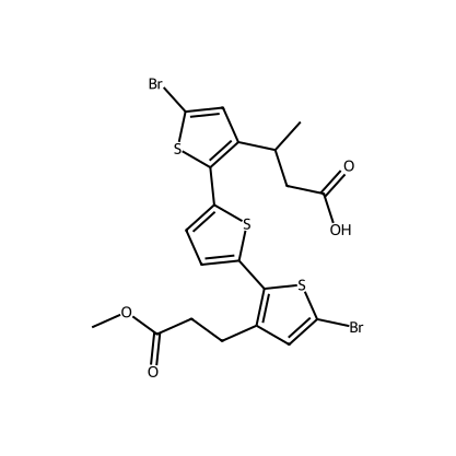 COC(=O)CCc1cc(Br)sc1-c1ccc(-c2sc(Br)cc2C(C)CC(=O)O)s1